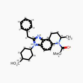 COC(=O)N1c2ccc3c(nc(Cc4ccccc4)n3C3CCC(C(=O)O)CC3)c2CCC1C